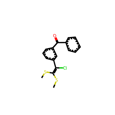 CSC(SC)=C(Cl)c1cccc(C(=O)c2ccccc2)c1